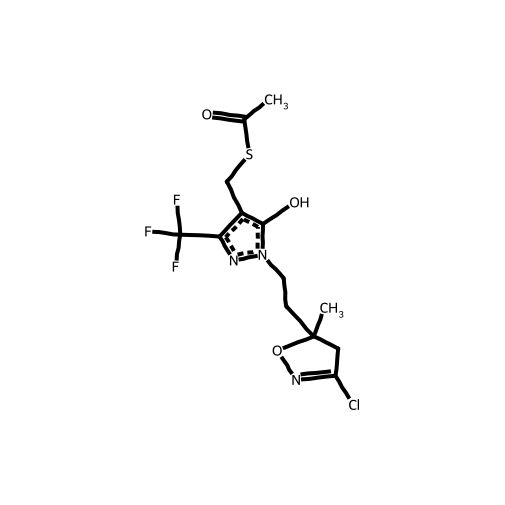 CC(=O)SCc1c(C(F)(F)F)nn(CCC2(C)CC(Cl)=NO2)c1O